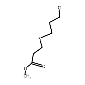 COC(=O)CCSCCCCl